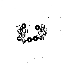 CCN(CC)[C@@H](C(=O)N1CCC[C@H]1c1ncc(-c2ccc(-c3ccc(-c4cnc([C@@H]5CCCN5C(=O)[C@H](Cc5c[nH]c6ccccc56)N(C)C(=O)O)[nH]4)cc3)cc2)[nH]1)c1ccccc1